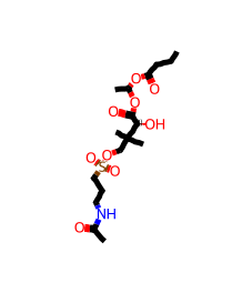 CCCC(=O)OC(C)OC(=O)[C@H](O)C(C)(C)COS(=O)(=O)CCCNC(C)=O